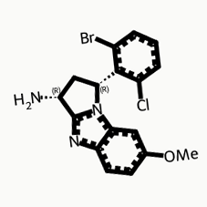 COc1ccc2nc3n(c2c1)[C@@H](c1c(Cl)cccc1Br)C[C@H]3N